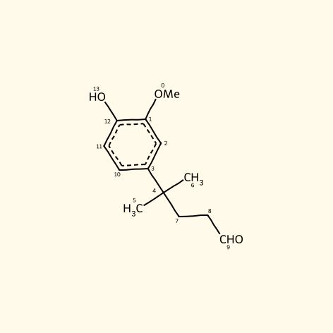 COc1cc(C(C)(C)CCC=O)ccc1O